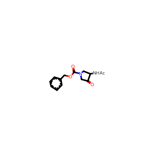 CC(=O)NC1CN(C(=O)OCc2ccccc2)CC1=O